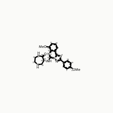 COc1ccc(-c2nc3c4cccc(OC)c4nc(N[C@@H]4CNCCNC4=O)n3n2)cc1